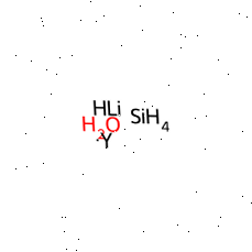 O.[LiH].[SiH4].[Y]